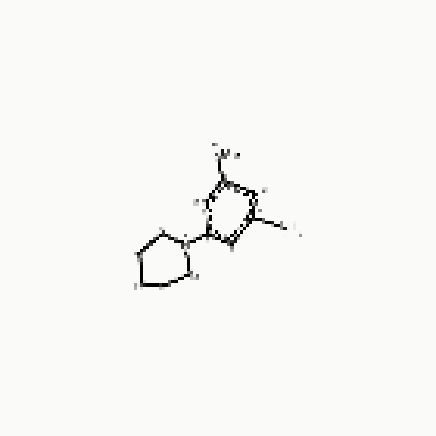 CSc1nc(N)cc(N2CCCCC2)n1